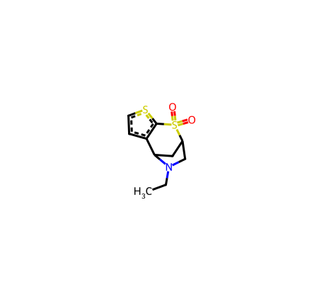 CCN1CC2CC1c1ccsc1S2(=O)=O